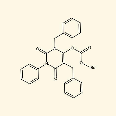 CC(C)(C)OC(=O)Oc1c(Cc2ccccc2)c(=O)n(-c2ccccc2)c(=O)n1Cc1ccccc1